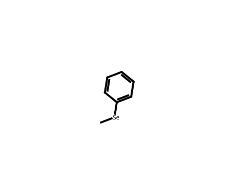 C[Se]c1[c]cccc1